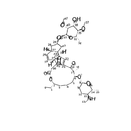 CC[C@H]1CCC[C@H](O[C@H]2CC[C@H](NC)[C@@H](C)O2)[C@@H](C)C(=O)C2=C[C@@H]3[C@@H](C=C[C@@H]4C[C@@H](O[C@@H]5O[C@@H](C)[C@H](OC)[C@@H](O)[C@H]5OC)C[C@@H]34)[C@@H]2CC(=O)O1